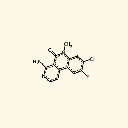 Cn1c(=O)c2c(N)nccc2c2cc(F)c(Cl)cc21